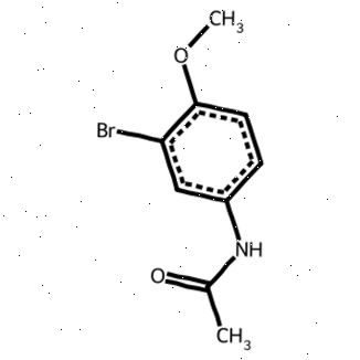 COc1ccc(NC(C)=O)cc1Br